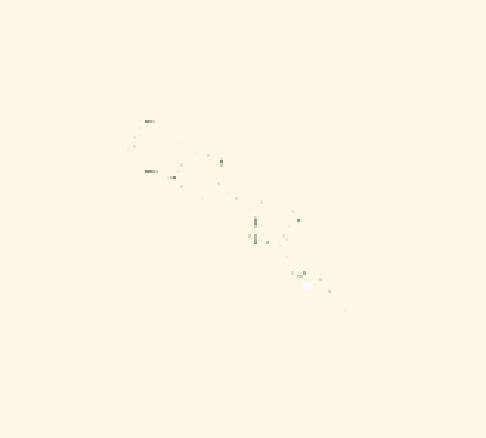 CC(C)(C)/[N+]([O-])=C/c1c[nH]c(-c2cc3ccccc3o2)n1